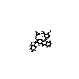 Clc1ccc(-n2c3c/c(=N\C4CC4)c(Nc4cccnc4)cc-3nc3ccccc32)cc1Cl